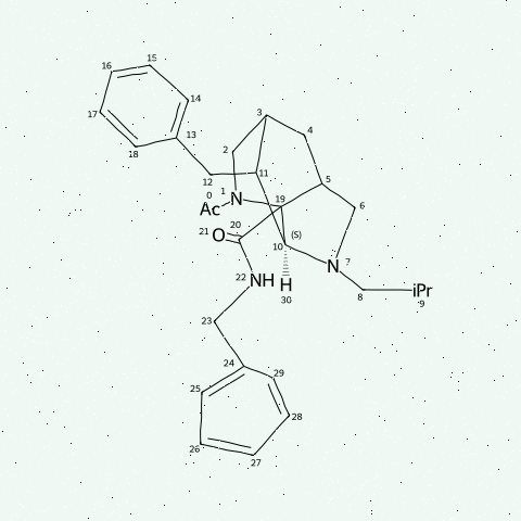 CC(=O)N1CC2CC3CN(CC(C)C)[C@@H](C2Cc2ccccc2)C31C(=O)NCc1ccccc1